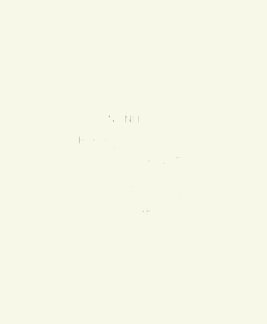 COc1c(F)cc(Cc2c(O)n[nH]c2C)cc1F